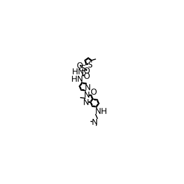 Cc1ccc(S(=O)(=O)NC(=O)Nc2ccc(-n3c(C)nc4cc(NCCN(C)C)ccc4c3=O)nc2)s1